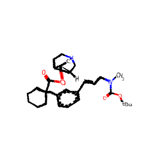 CN(C/C=C/c1cccc(C2(C(=O)O[C@H]3CN4CCC3CC4)CCCCC2)c1)C(=O)OC(C)(C)C